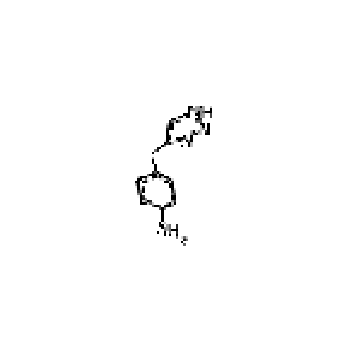 Nc1ccc(Cc2c[nH]nn2)cc1